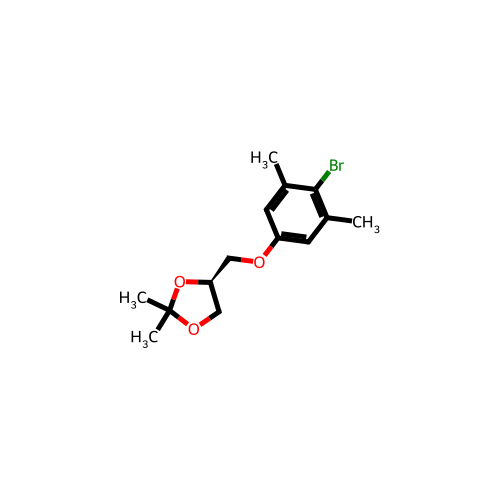 Cc1cc(OC[C@H]2COC(C)(C)O2)cc(C)c1Br